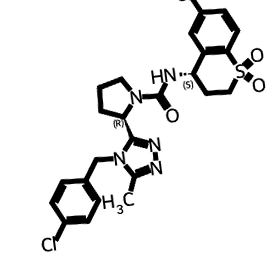 Cc1nnc([C@H]2CCCN2C(=O)N[C@H]2CCS(=O)(=O)c3ccc(Cl)cc32)n1Cc1ccc(Cl)cc1